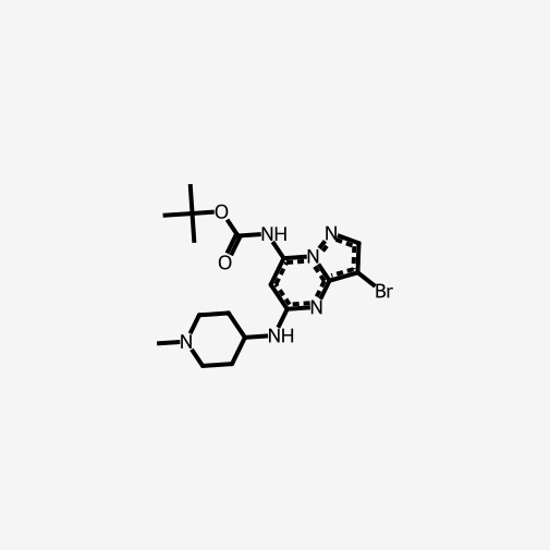 CN1CCC(Nc2cc(NC(=O)OC(C)(C)C)n3ncc(Br)c3n2)CC1